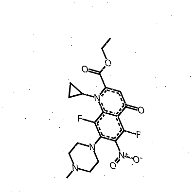 CCOC(=O)c1cc(=O)c2c(F)c([N+](=O)[O-])c(N3CCN(C)CC3)c(F)c2n1C1CC1